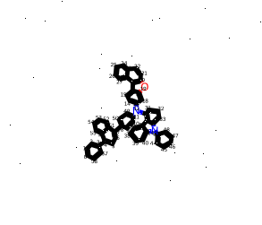 c1ccc(-c2ccc(-c3ccc(N(c4ccc5c(c4)oc4ccc6ccccc6c45)c4cccc5c4c4ccccc4n5-c4ccccc4)cc3)c3ccccc23)cc1